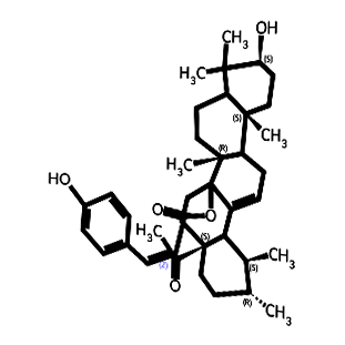 CC(=O)[C@]12CC[C@@H](C)[C@H](C)C1C1=CCC3[C@@]4(C)CC[C@H](O)C(C)(C)C4CC[C@@]3(C)C1(OC(=O)/C=C\c1ccc(O)cc1)CC2